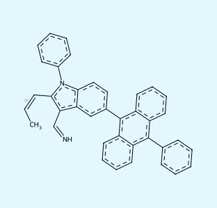 C/C=C\c1c(C=N)c2cc(-c3c4ccccc4c(-c4ccccc4)c4ccccc34)ccc2n1-c1ccccc1